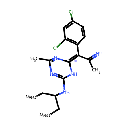 COCC(COC)NC1=NC(C)=N/C(=C(/C(C)=N)c2ccc(Cl)cc2Cl)N1